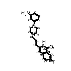 Nc1cccc(N2CCN(CCCc3cc4ccc(F)cc4c(=O)[nH]3)CC2)c1